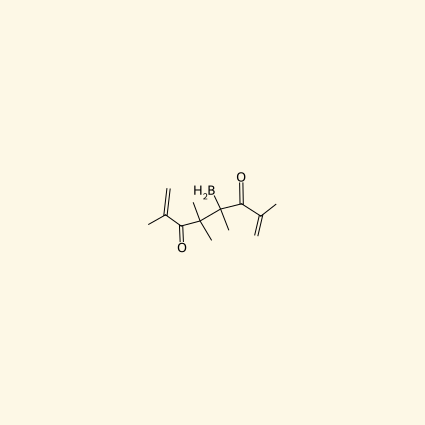 BC(C)(C(=O)C(=C)C)C(C)(C)C(=O)C(=C)C